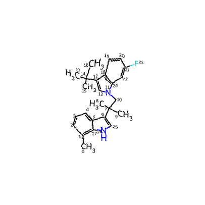 Cc1cccc2c(C(C)(C)Cn3cc(C(C)(C)C)c4ccc(F)cc43)c[nH]c12